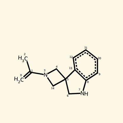 C=C(C)N1CC2(CNc3ccccc32)C1